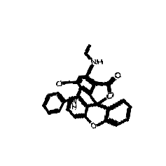 CCNc1cc(Cl)c(Nc2ccccc2)c2c1C(=O)OC21c2ccccc2Oc2ccccc21